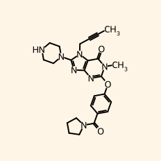 CC#CCn1c(N2CCNCC2)nc2nc(Oc3ccc(C(=O)N4CCCC4)cc3)n(C)c(=O)c21